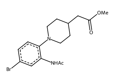 COC(=O)CC1CCN(c2ccc(Br)cc2NC(C)=O)CC1